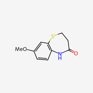 COc1ccc2c(c1)SCCC(=O)N2